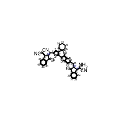 N#CC(C#N)=C1/C(=C/c2cc3c(s2)-c2sc4cc(/C=C5\C(=O)c6ccccc6\C5=C(\N)C#N)sc4c2OC32CCCCC2)C(=O)c2ccccc21